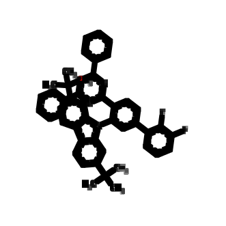 CC(C)(C)c1ccc2c3ccc(C(C)(C)C)cc3n(-c3cc(-c4cccc(F)c4F)ccc3-c3nc(-c4ccccc4)nc(-c4ccccc4)n3)c2c1